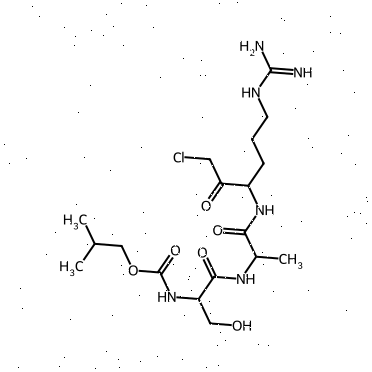 CC(C)COC(=O)NC(CO)C(=O)NC(C)C(=O)NC(CCCNC(=N)N)C(=O)CCl